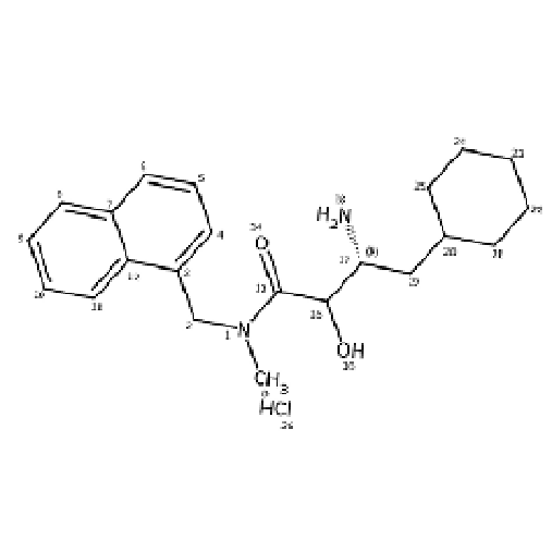 CN(Cc1cccc2ccccc12)C(=O)C(O)[C@H](N)CC1CCCCC1.Cl